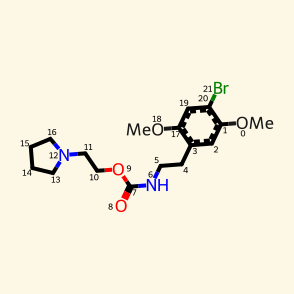 COc1cc(CCNC(=O)OCCN2CCCC2)c(OC)cc1Br